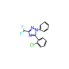 FC(F)c1nc(-c2ccccc2Cl)n(-c2ccccc2)n1